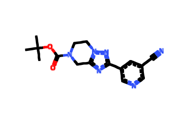 CC(C)(C)OC(=O)N1CCn2nc(-c3cncc(C#N)c3)nc2C1